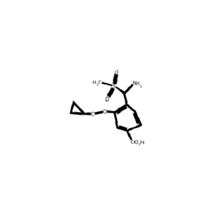 CS(=O)(=O)C(N)c1ccc(C(=O)O)cc1OCC1CC1